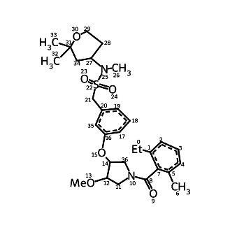 CCc1cccc(C)c1C(=O)N1CC(OC)C(Oc2cccc(CS(=O)(=O)N(C)C3CCOC(C)(C)C3)c2)C1